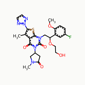 COc1ccc(F)cc1C(Cn1c(=O)n(C2CC(=O)N(C)C2)c(=O)c2c(C)c(-n3nccn3)sc21)OCCO